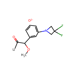 [Li][C](=O)C(OC)c1cccc(N2CC(F)(F)C2)c1.[O-2]